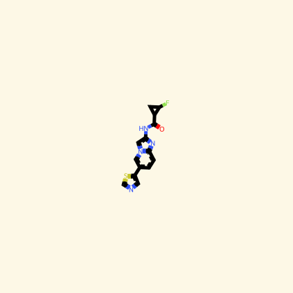 O=C(Nc1cn2cc(-c3cncs3)ccc2n1)C1CC1F